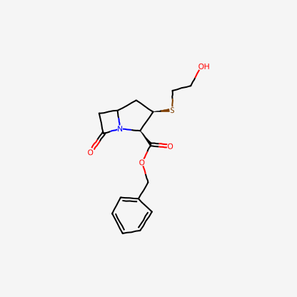 O=C(OCc1ccccc1)[C@@H]1[C@H](SCCO)CC2CC(=O)N21